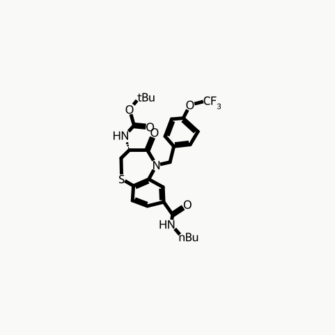 CCCCNC(=O)c1ccc2c(c1)N(Cc1ccc(OC(F)(F)F)cc1)C(=O)[C@@H](NC(=O)OC(C)(C)C)CS2